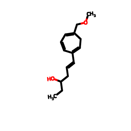 CCC(O)C/C=C/C1=CCC(COC)=CC=C1